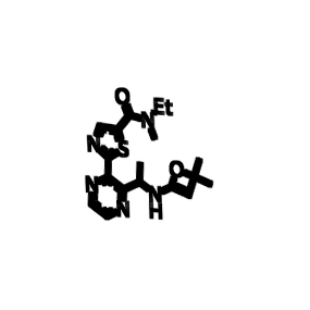 CCN(C)C(=O)c1cnc(-c2nccnc2C(C)NC2=CC(C)(C)O2)s1